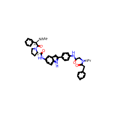 CCCN(CC(=O)Nc1ccc(-c2cc3cc(NC(=O)[C@@H]4CCCN4C(=O)[C@H](NC)c4ccccc4)ccc3[nH]2)cc1)C(=O)Cc1ccccc1